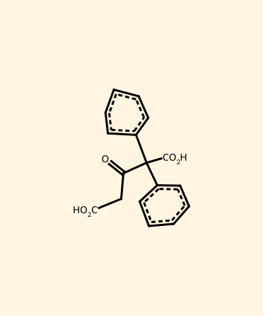 O=C(O)CC(=O)C(C(=O)O)(c1ccccc1)c1ccccc1